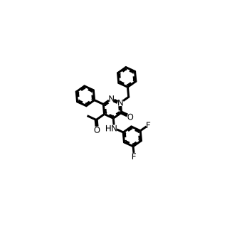 CC(=O)c1c(-c2ccccc2)nn(Cc2ccccc2)c(=O)c1Nc1cc(F)cc(F)c1